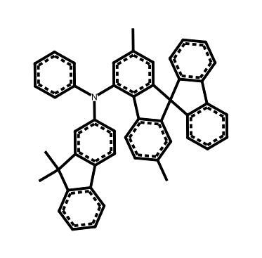 Cc1ccc2c(c1)C1(c3ccccc3-c3ccccc31)c1cc(C)cc(N(c3ccccc3)c3ccc4c(c3)C(C)(C)c3ccccc3-4)c1-2